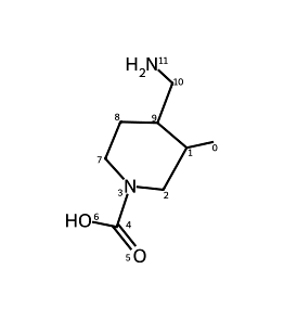 CC1CN(C(=O)O)CCC1CN